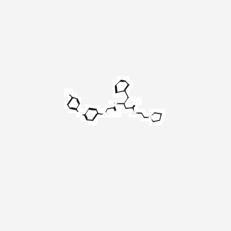 O=C(CC(Cc1ccccc1)NC(=O)CNc1ccc(Oc2ccc(Cl)cc2)cc1)NCCN1CCCC1